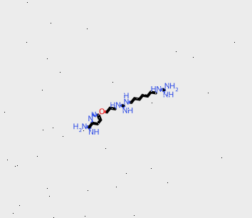 N=C(N)NCCCCCCCNC(=N)NCCCOC1=CCC(C(=N)N)N=N1